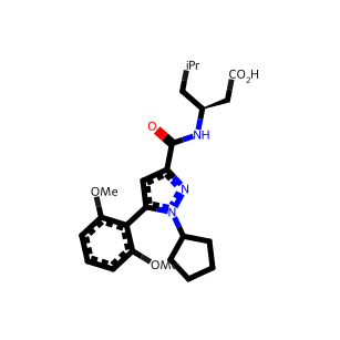 COc1cccc(OC)c1-c1cc(C(=O)N[C@H](CC(=O)O)CC(C)C)nn1C1CCCC1